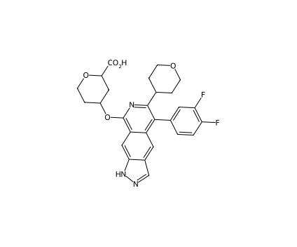 O=C(O)C1CC(Oc2nc(C3CCOCC3)c(-c3ccc(F)c(F)c3)c3cc4cn[nH]c4cc23)CCO1